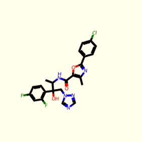 Cc1nc(-c2ccc(Cl)cc2)oc1C(=O)NC(C)C(O)(Cn1cncn1)c1ccc(F)cc1F